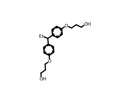 CCC(c1ccc(OCCCO)cc1)c1ccc(OCCCO)cc1